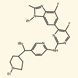 CCN1CCC(C(c2ccc(Nc3ncc(F)c(-c4cc(F)c5nc(C)n(C(C)C)c5c4)n3)nc2)C(C)(C)C)CC1